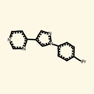 CC(C)c1ccc(-n2cc(-c3ccncn3)cn2)cc1